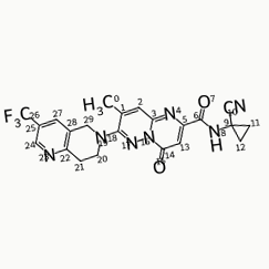 Cc1cc2nc(C(=O)NC3(C#N)CC3)cc(=O)n2nc1N1CCc2ncc(C(F)(F)F)cc2C1